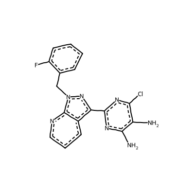 Nc1nc(-c2nn(Cc3ccccc3F)c3ncccc23)nc(Cl)c1N